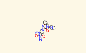 O=C1NC(=O)C2(CCN(c3nc4ccccc4n(C4CC5CCC(C4)N5C4CCCCCCC4)c3=O)CC2)N1